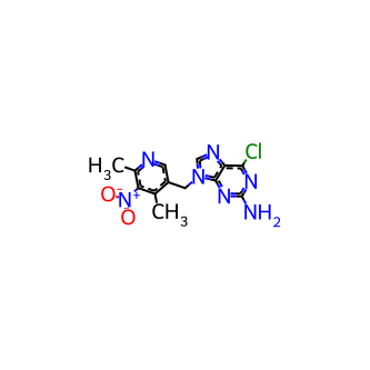 Cc1ncc(Cn2cnc3c(Cl)nc(N)nc32)c(C)c1[N+](=O)[O-]